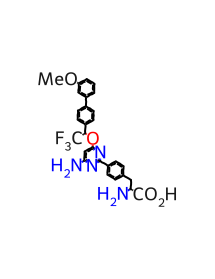 COc1cccc(-c2ccc([C@@H](Oc3cc(N)nc(-c4ccc(C[C@H](N)C(=O)O)cc4)n3)C(F)(F)F)cc2)c1